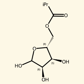 CC(C)C(=O)OC[C@H]1OC(O)[C@H](O)[C@@H]1O